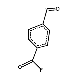 O=[C]c1ccc(C(=O)F)cc1